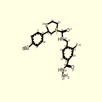 CC(C)(C)c1ccc(C2CN(C(=O)NCc3ccc(C(=O)NN)cc3F)CCS2)cc1